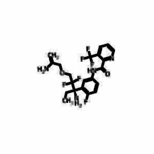 C=C(N)COCC(F)(F)[C@@](N)(CC)c1cc(NC(=O)c2ncccc2C(F)(F)F)ccc1F